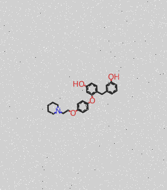 Oc1cccc(Cc2ccc(O)cc2Oc2ccc(OCCN3CCCCC3)cc2)c1